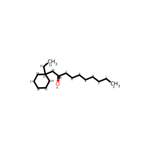 CCCCCCCCC(=O)CC1(CC)CCCCC1